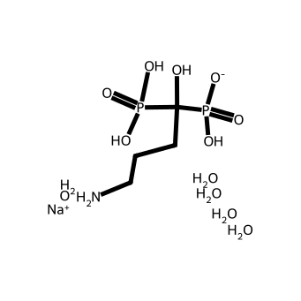 NCCCC(O)(P(=O)([O-])O)P(=O)(O)O.O.O.O.O.O.[Na+]